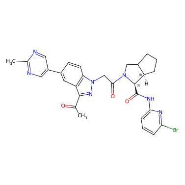 CC(=O)c1nn(CC(=O)N2CC3CCC[C@H]3[C@H]2C(=O)Nc2cccc(Br)n2)c2ccc(-c3cnc(C)nc3)cc12